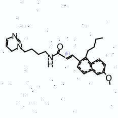 CCCCc1c(/C=C/C(=O)NCCCCN2C=NC=CC2)ccc2cc(OC)ccc12